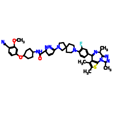 COc1cc(OC2CCC(NC(=O)c3ccc(N4CCC5(CCN(c6ccc(C7=N[C@@H](C)c8nnc(C)n8-c8sc(C)c(C)c87)cc6F)CC5)C4)nn3)CC2)ccc1C#N